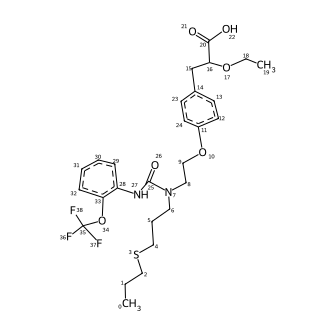 CCCSCCCN(CCOc1ccc(CC(OCC)C(=O)O)cc1)C(=O)Nc1ccccc1OC(F)(F)F